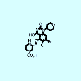 O=C(O)N1CCN[C@H](COc2c(Cl)c(Br)cc3c2c(O)nc(=O)n3C2CCOCC2)C1